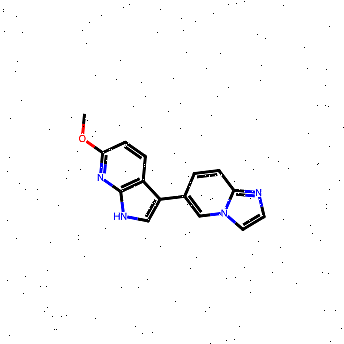 COc1ccc2c(-c3ccc4nccn4c3)c[nH]c2n1